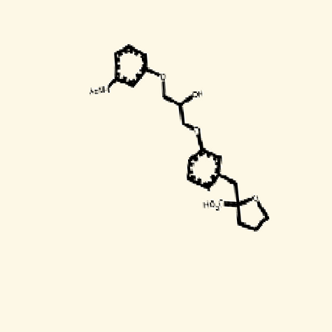 CC(=O)Nc1cccc(OCC(O)COc2cccc(CC3(C(=O)O)CCCO3)c2)c1